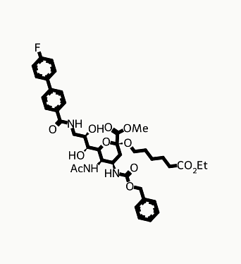 CCOC(=O)CCCCCO[C@]1(C(=O)OC)C[C@@H](NC(=O)OCc2ccccc2)[C@@H](NC(C)=O)C([C@H](O)[C@H](O)CNC(=O)c2ccc(-c3ccc(F)cc3)cc2)O1